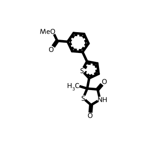 COC(=O)c1cccc(-c2ccc(C3(C)SC(=O)NC3=O)s2)c1